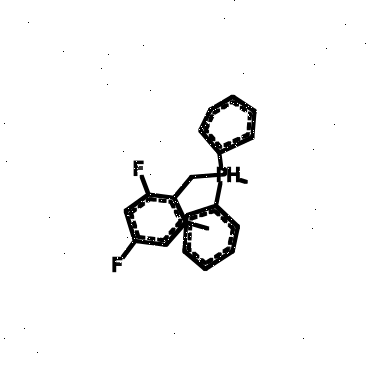 Cc1cc(F)cc(F)c1C[PH](C)(c1ccccc1)c1ccccc1